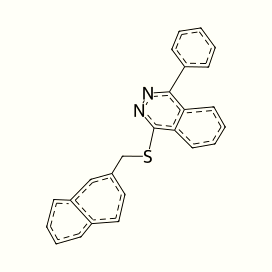 c1ccc(-c2nnc(SCc3ccc4ccccc4c3)c3ccccc23)cc1